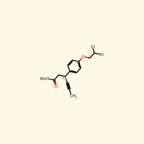 CC#C[C@@H](CC(=O)OC)c1ccc(OCC(CC)CC)cc1